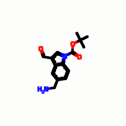 CC(C)(C)OC(=O)n1cc(C=O)c2cc(CN)ccc21